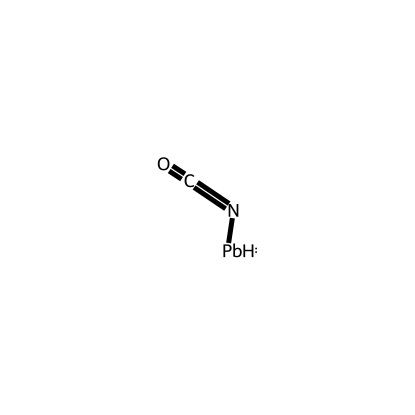 O=C=[N][PbH]